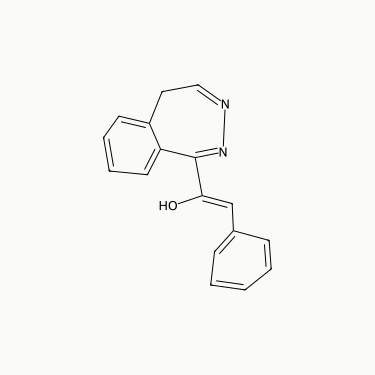 OC(=Cc1ccccc1)C1=NN=CCc2ccccc21